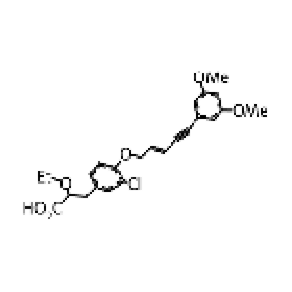 CCOC(Cc1ccc(OCC=CC#Cc2cc(OC)cc(OC)c2)c(Cl)c1)C(=O)O